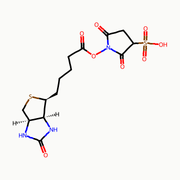 O=C1N[C@H]2[C@H](CS[C@H]2CCCCC(=O)ON2C(=O)CC(S(=O)(=O)O)C2=O)N1